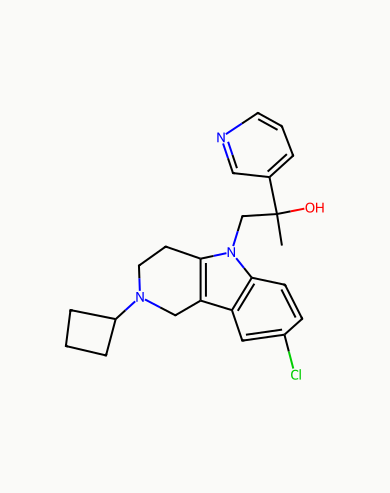 CC(O)(Cn1c2c(c3cc(Cl)ccc31)CN(C1CCC1)CC2)c1cccnc1